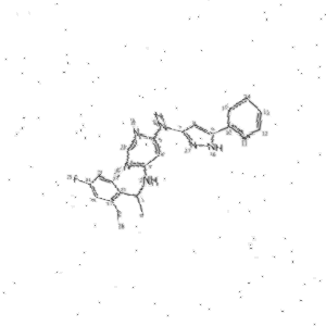 CC(Nc1cc(Nc2cc(-c3ccccc3)[nH]n2)ncn1)c1ccc(F)cc1F